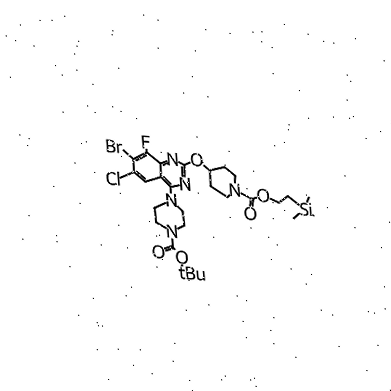 CC(C)(C)OC(=O)N1CCN(c2nc(OC3CCN(C(=O)OCC[Si](C)(C)C)CC3)nc3c(F)c(Br)c(Cl)cc23)CC1